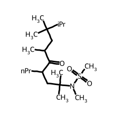 CCCC(CC(C)(C)N(C)S(C)(=O)=O)C(=O)C(C)CC(C)(C)C(C)C